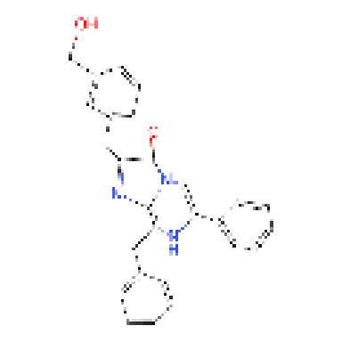 O=c1c(Cc2cccc(CO)c2)nc2c(Cc3ccccc3)[nH]c(-c3ccccc3)cn1-2